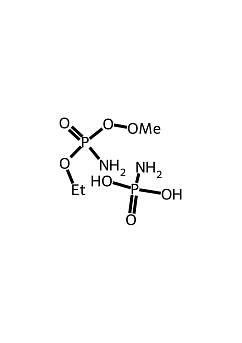 CCOP(N)(=O)OOC.NP(=O)(O)O